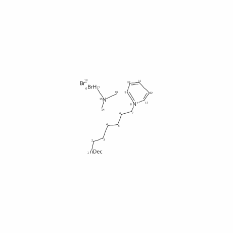 Br.CCCCCCCCCCCCCCCC[n+]1ccccc1.CN(C)C.[Br-]